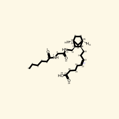 CCCCCC(=O)NCC(=O)NC[C@H]1[C@H]2CC[C@H](C2)[C@H]1CC/C=C\CCCC(=O)O